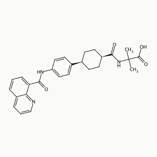 CC(C)(NC(=O)[C@H]1CC[C@@H](c2ccc(NC(=O)c3cccc4cccnc34)cc2)CC1)C(=O)O